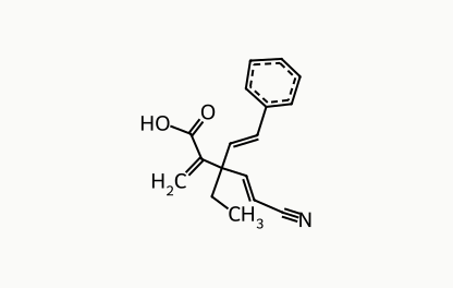 C=C(C(=O)O)C(C=CC#N)(C=Cc1ccccc1)CC